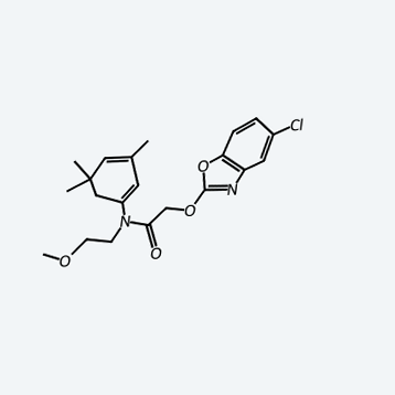 COCCN(C(=O)COc1nc2cc(Cl)ccc2o1)C1=CC(C)=CC(C)(C)C1